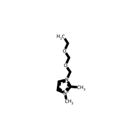 CCOCOCn1cc[n+](C)c1C